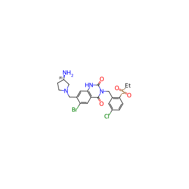 CCS(=O)(=O)c1ccc(Cl)cc1Cn1c(=O)[nH]c2cc(CN3CC[C@@H](N)C3)c(Br)cc2c1=O